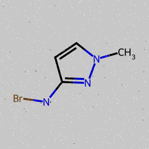 Cn1ccc([N]Br)n1